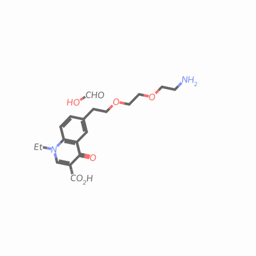 CCn1cc(C(=O)O)c(=O)c2cc(CCOCCOCCN)ccc21.O=CO